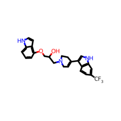 OC(COc1cccc2[nH]ccc12)CN1CC=C(c2c[nH]c3cc(C(F)(F)F)ccc23)CC1